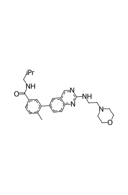 Cc1ccc(C(=O)NCC(C)C)cc1-c1ccc2nc(NCCN3CCOCC3)ncc2c1